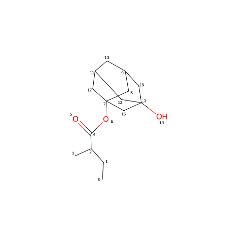 CCC(C)C(=O)OC12CC3CC(CC(O)(C3)C1)C2